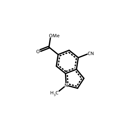 COC(=O)c1cc(C#N)c2ccn(C)c2c1